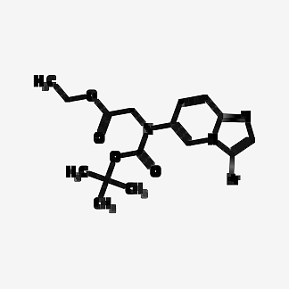 CCOC(=O)CN(C(=O)OC(C)(C)C)c1ccc2ncc(Br)n2c1